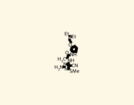 CCN(CC)CCOc1cccc(NC(=O)[C@H](C)Nc2nc(N)nc(SC)c2C#N)c1